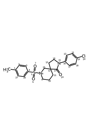 Cc1ccc(S(=O)(=O)N2CCCC3(CCN(c4ccc(Cl)cc4)C3=O)C2)cc1